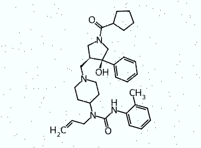 C=CCN(C(=O)Nc1ccccc1C)C1CCN(C[C@H]2CN(C(=O)C3CCCC3)C[C@]2(O)c2ccccc2)CC1